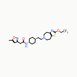 Cc1cc(CC(=O)N[C@H]2CC[C@H](CCN3CCc4nc(OCC(F)(F)F)sc4CC3)CC2)no1